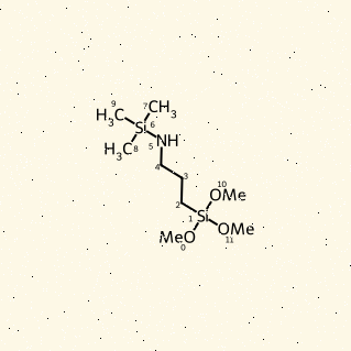 CO[Si](CCCN[Si](C)(C)C)(OC)OC